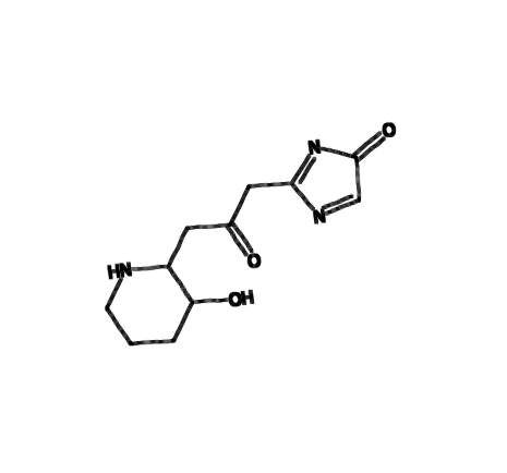 O=C(CC1=NC(=O)C=N1)CC1NCCCC1O